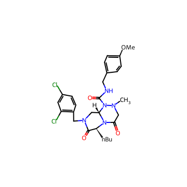 CCCC[C@H]1C(=O)N(Cc2ccc(Cl)cc2Cl)C[C@H]2N1C(=O)CN(C)N2C(=O)NCc1ccc(OC)cc1